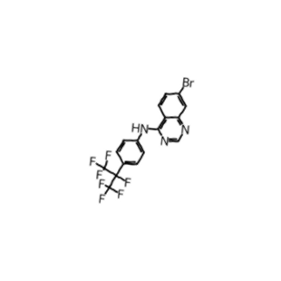 FC(F)(F)C(F)(c1ccc(Nc2ncnc3cc(Br)ccc23)cc1)C(F)(F)F